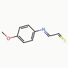 COc1ccc(N=CC=S)cc1